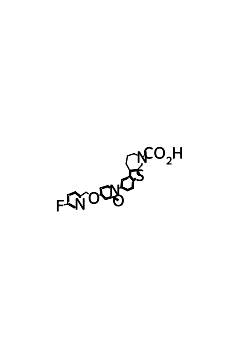 O=C(O)N1CCCc2c(sc3ccc(-n4ccc(OCc5ccc(F)cn5)cc4=O)cc23)C1